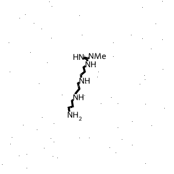 CNC(=N)NCCCNCCCNCCCN